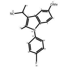 COc1ccc2c(c1)c(C(C)C#N)c(C)n2-c1ccc(F)cc1